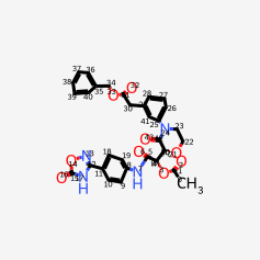 CC(=O)O[C@@H](C(=O)Nc1ccc(-c2noc(=O)[nH]2)cc1)[C@H]1OCCN(c2cccc(CC(=O)OCc3ccccc3)c2)C1=O